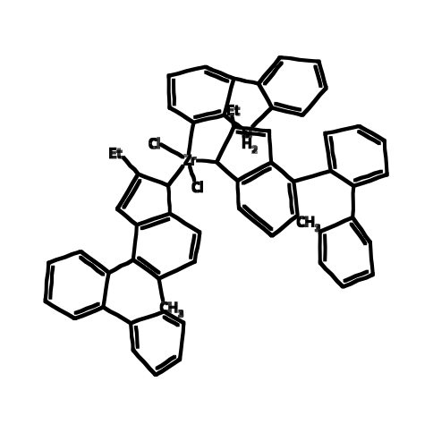 CCC1=Cc2c(ccc(C)c2-c2ccccc2-c2ccccc2)[CH]1[Zr]([Cl])([Cl])([c]1cccc2c1[SiH2]c1ccccc1-2)[CH]1C(CC)=Cc2c1ccc(C)c2-c1ccccc1-c1ccccc1